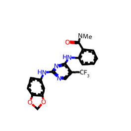 CNC(=O)c1ccccc1Nc1nc(Nc2ccc3c(c2)OCO3)ncc1C(F)(F)F